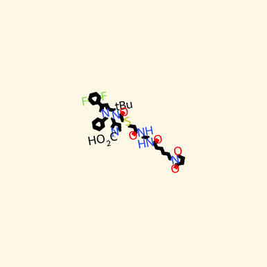 CC(C)(C)[C@H](c1cc(-c2cc(F)ccc2F)cn1Cc1ccccc1)N(CC1CCN(C(=O)O)C1)C(=O)CSCCC(=O)NCCNC(=O)CCCCCN1C(=O)C=CC1=O